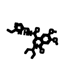 CCc1nc(CNC(=O)c2cn(C(CC)CC)c(=O)c3cc(OC)c(OC)cc23)cs1